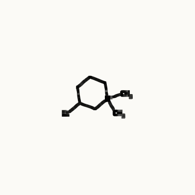 CCC1CCC[N+](C)(C)C1